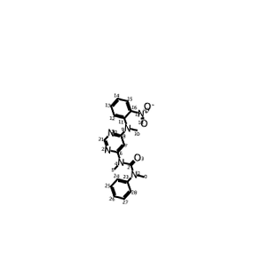 CN(C(=O)N(C)c1cc(N(C)c2ccccc2[N+](=O)[O-])ncn1)c1ccccc1